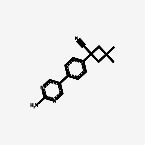 CC1(C)CC(C#N)(c2ccc(-c3cnc(N)nc3)cc2)C1